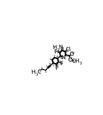 CCCC#Cc1ccc(-c2nc(C(=O)OC)c(Cl)c(N)c2F)c(F)c1F